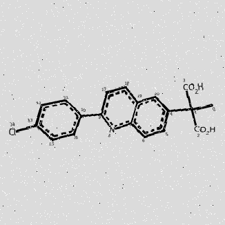 CC(C(=O)O)(C(=O)O)c1ccc2nc(-c3ccc(Cl)cc3)ccc2c1